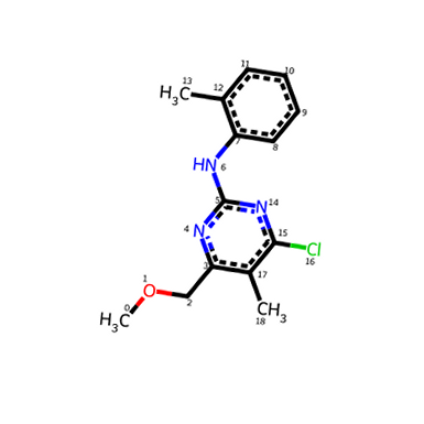 COCc1nc(Nc2ccccc2C)nc(Cl)c1C